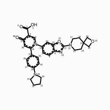 O=C(O)c1cn(-c2ccc3nc(N4CCC5(CC4)COC5)oc3c2)c(-c2ccc(N3CCCC3)cc2)cc1=O